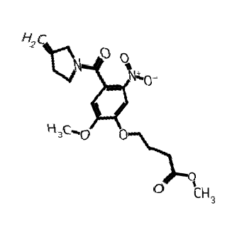 C=C1CCN(C(=O)c2cc(OC)c(OCCCC(=O)OC)cc2[N+](=O)[O-])C1